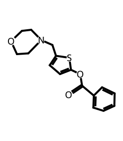 O=C(Oc1ccc(CN2CCOCC2)s1)c1ccccc1